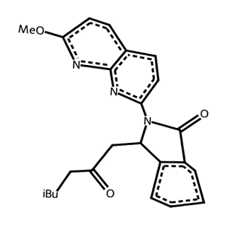 CCC(C)CC(=O)CC1c2ccccc2C(=O)N1c1ccc2ccc(OC)nc2n1